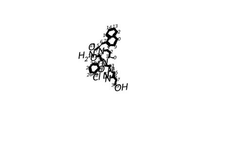 C[C@@H]1CCN([C@H](Cc2cccc3ccccc23)C(N)=O)C(=O)[C@H](c2cccc(Cl)c2)N1C(=O)Cn1cc(CCO)nn1